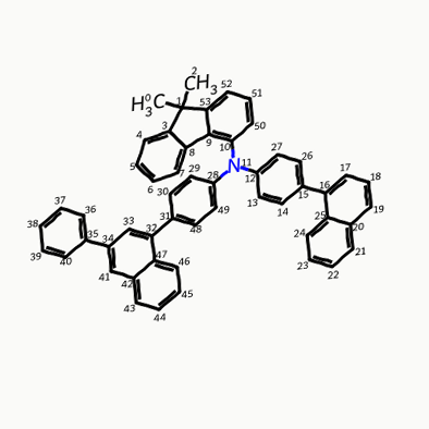 CC1(C)c2ccccc2-c2c(N(c3ccc(-c4cccc5ccccc45)cc3)c3ccc(-c4cc(-c5ccccc5)cc5ccccc45)cc3)cccc21